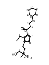 CCn1c(CCC(C)(N)CO)ccc1C(=O)CCCC1CCCCC1